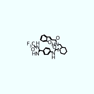 N=C(NC(=O)C(F)(F)F)c1ccc(NC(=O)N2CCCCC2CNC(=O)c2cc3ccccc3o2)cc1